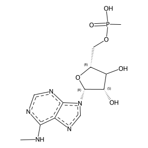 CNc1ncnc2c1ncn2[C@@H]1O[C@H](COP(C)(=O)O)C(O)[C@@H]1O